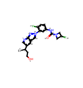 CCC(CCO)c1cnc2nn(-c3cc(NC(=O)N4CC(F)C4)ccc3F)cc2c1